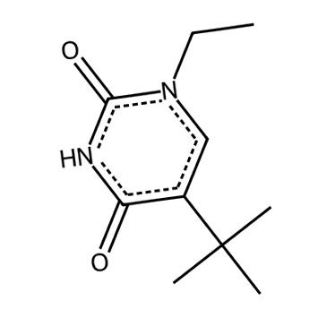 CCn1cc(C(C)(C)C)c(=O)[nH]c1=O